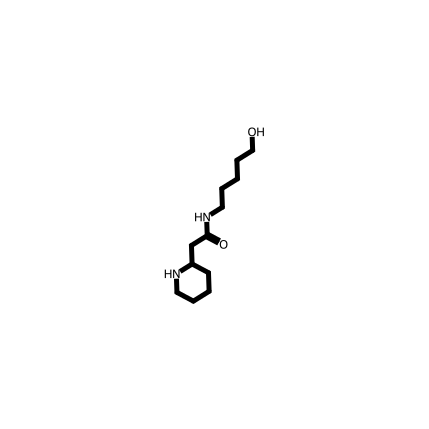 O=C(CC1CCCCN1)NCCCCCO